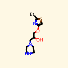 CCc1nc(OCC(O)CN2CCNCC2)cs1